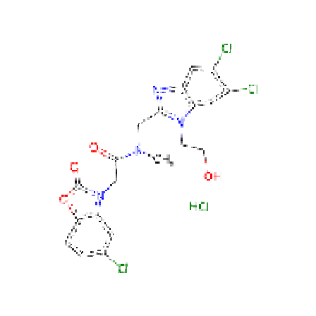 CN(Cc1nc2cc(Cl)c(Cl)cc2n1CCO)C(=O)Cn1c(=O)oc2ccc(Cl)cc21.Cl